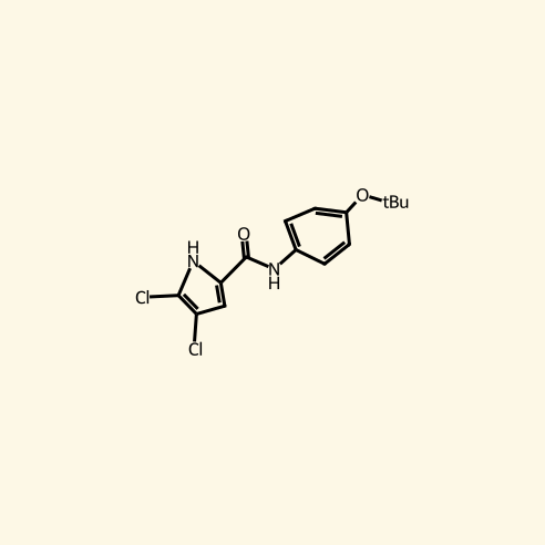 CC(C)(C)Oc1ccc(NC(=O)c2cc(Cl)c(Cl)[nH]2)cc1